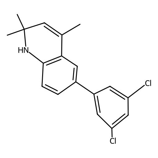 CC1=CC(C)(C)Nc2ccc(-c3cc(Cl)cc(Cl)c3)cc21